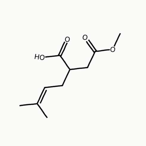 COC(=O)CC(CC=C(C)C)C(=O)O